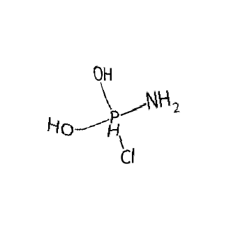 N[PH](O)(O)Cl